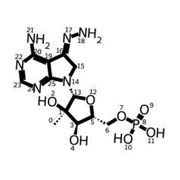 C[C@@]1(O)[C@H](O)[C@@H](COP(=O)(O)O)O[C@H]1N1CC(=NN)c2c(N)ncnc21